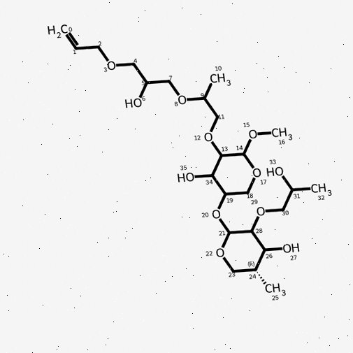 C=CCOCC(O)COC(C)COC1C(OC)OCC(OC2OC[C@@H](C)C(O)C2OCC(C)O)C1O